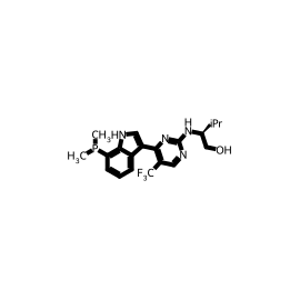 CC(C)[C@@H](CO)Nc1ncc(C(F)(F)F)c(-c2c[nH]c3c(P(C)C)cccc23)n1